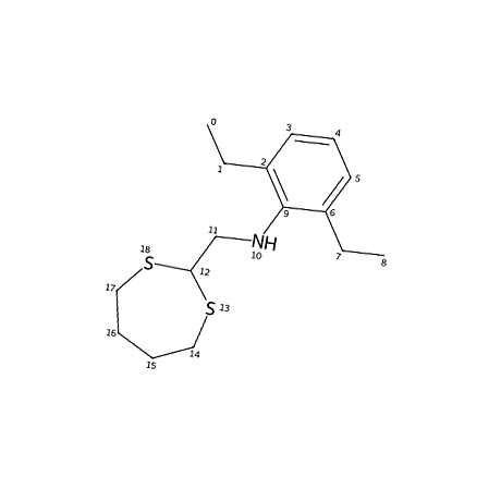 CCc1cccc(CC)c1NCC1SCCCCS1